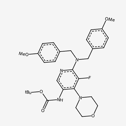 COc1ccc(CN(Cc2ccc(OC)cc2)c2ncc(NC(=O)OC(C)(C)C)c(N3CCOCC3)c2F)cc1